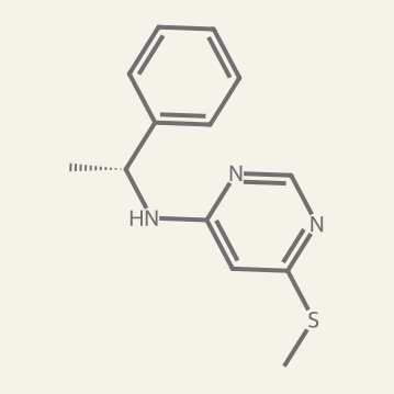 CSc1cc(N[C@H](C)c2ccccc2)ncn1